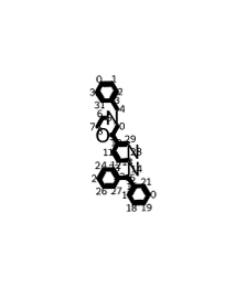 c1ccc(CN2CCOC(c3ccc(N=C(c4ccccc4)c4ccccc4)nc3)C2)cc1